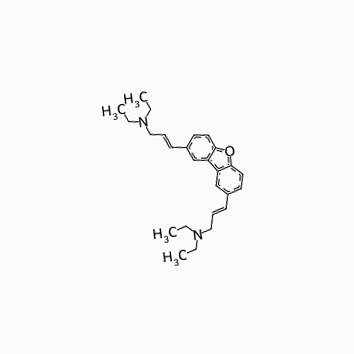 CCN(CC)CC=Cc1ccc2oc3ccc(C=CCN(CC)CC)cc3c2c1